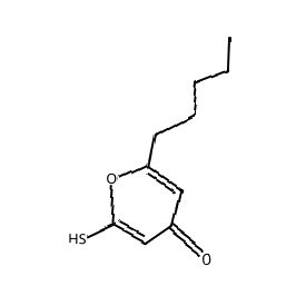 CCCCCc1cc(=O)cc(S)o1